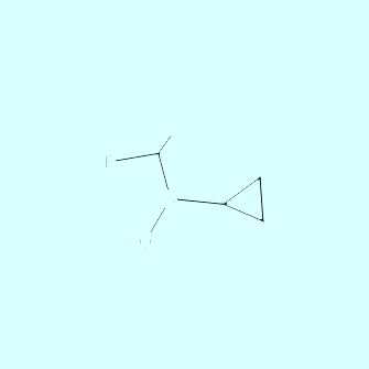 [O-][S+](C(F)F)C1CC1